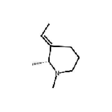 C/C=C1\CCCN(C)[C@@H]1C